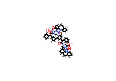 O=C(O)[C@@H]1CN(C(=O)N2c3ccccc3C=Cc3ccccc32)CCN1C(=O)C(c1ccccc1)c1cccc(-c2cccc(C(C(=O)N3CCN(C(=O)N4c5ccccc5C=Cc5ccccc54)[C@H](C(=O)O)C3)c3ccccc3)c2)c1